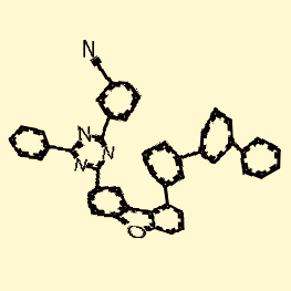 N#Cc1cccc(-c2nc(-c3ccccc3)nc(-c3ccc4oc5cccc(-c6cccc(-c7cccc(-c8ccccc8)c7)c6)c5c4c3)n2)c1